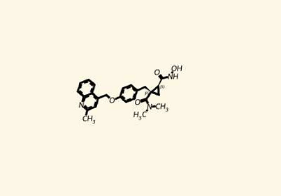 Cc1cc(COc2ccc(C[C@]3(C(=O)N(C)C)C[C@@H]3C(=O)NO)cc2)c2ccccc2n1